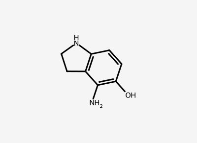 Nc1c(O)ccc2c1CCN2